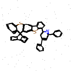 c1ccc(-c2cc(-c3ccccc3)nc(-c3cccc4c3sc3cc5c(cc34)Sc3ccccc3C53c4ccccc4-c4ccccc43)c2)cc1